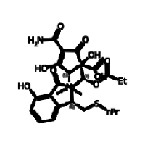 C=C(O)I1(O)([C@@H](OC(=O)CC)I2C(=O)c3c(O)cccc3[C@@H]2CSCCC)C(=O)C(C(N)=O)=C(O)[C@H]1N(C)C